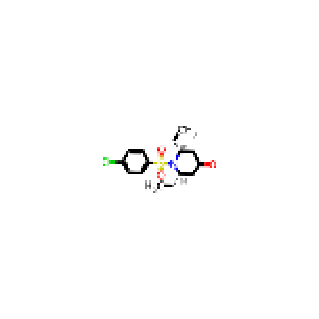 CC[C@@H]1CC(=O)C[C@H](CC)N1S(=O)(=O)c1ccc(Cl)cc1